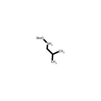 CO[SiH2]CC(C)C